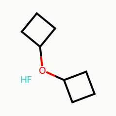 C1CC(OC2CCC2)C1.F